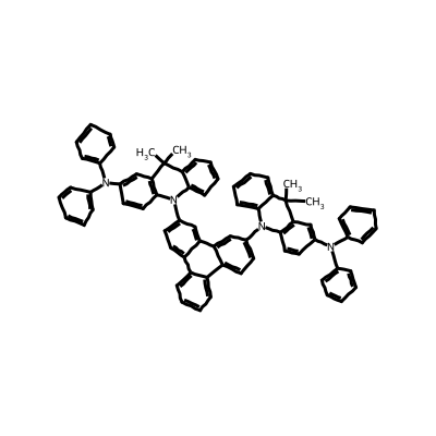 CC1(C)c2ccccc2N(c2ccc3c4ccccc4c4ccc(N5c6ccccc6C(C)(C)c6cc(N(c7ccccc7)c7ccccc7)ccc65)cc4c3c2)c2ccc(N(c3ccccc3)c3ccccc3)cc21